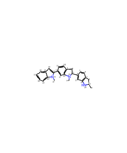 CC1Cc2ccc(C3Cc4ccc(-c5cc6ccccc6n5C)cc4N3C)cc2N1